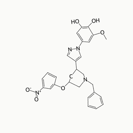 COc1cc(-n2cc(C3CC(Oc4cccc([N+](=O)[O-])c4)CN(Cc4ccccc4)C3)cn2)cc(O)c1O